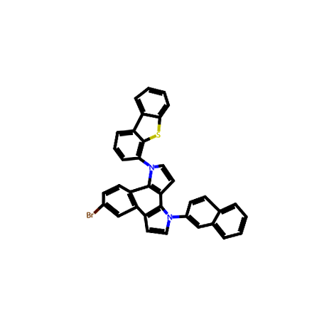 Brc1ccc2c(c1)c1ccn(-c3ccc4ccccc4c3)c1c1ccn(-c3cccc4c3sc3ccccc34)c21